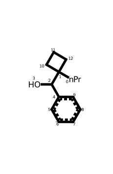 CCCC1(C(O)c2c[c]ccc2)CCC1